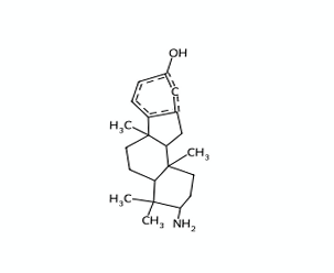 CC12CCC3C(C)(C)C(N)CCC3(C)C1Cc1cc(O)ccc12